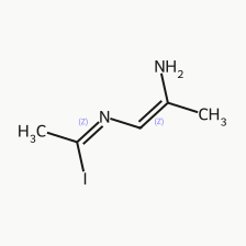 C/C(N)=C/N=C(/C)I